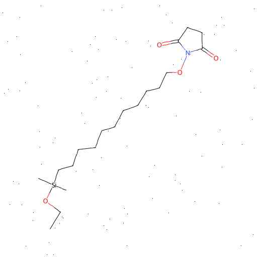 CCO[Si](C)(C)CCCCCCCCCCCON1C(=O)CCC1=O